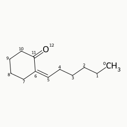 CCCCC/C=C1/CCCCC1=O